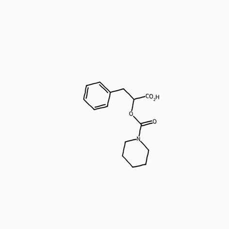 O=C(O)C(Cc1ccccc1)OC(=O)N1CCCCC1